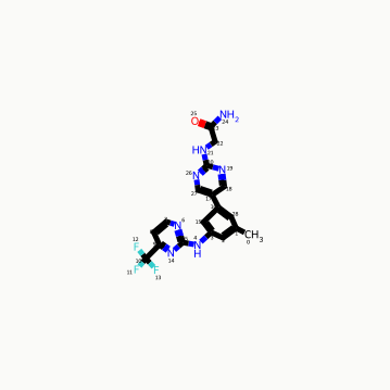 Cc1cc(Nc2nccc(C(F)(F)F)n2)cc(-c2cnc(NCC(N)=O)nc2)c1